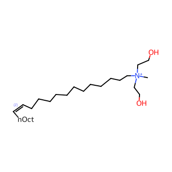 CCCCCCCC/C=C\CCCCCCCCCCCC[N+](C)(CCO)CCO